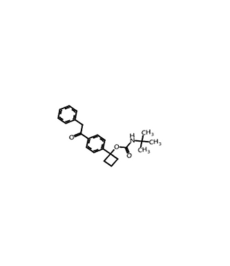 CC(C)(C)NC(=O)OC1(c2ccc(C(=O)Cc3ccccc3)cc2)CCC1